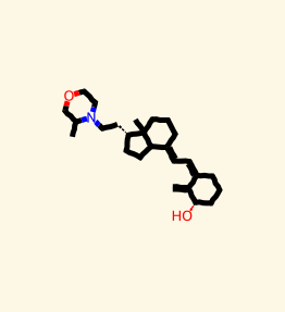 C=C1/C(=C\C=C2/CCCC3(C)C2CC[C@@H]3CCN2CCOCC2C)CCC[C@@H]1O